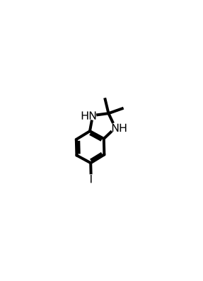 CC1(C)Nc2ccc(I)cc2N1